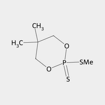 CSP1(=S)OCC(C)(C)CO1